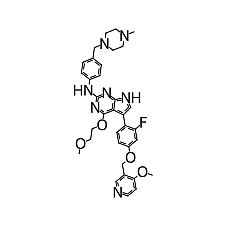 COCCOc1nc(Nc2ccc(CN3CCN(C)CC3)cc2)nc2[nH]cc(-c3ccc(OCc4cnccc4OC)cc3F)c12